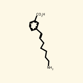 NCCCCCC=Cc1cccc(C(=O)O)c1